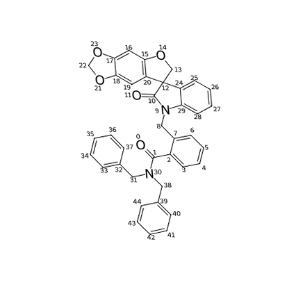 O=C(c1ccccc1CN1C(=O)C2(COc3cc4c(cc32)OCO4)c2ccccc21)N(Cc1ccccc1)Cc1ccccc1